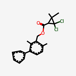 Cc1ccc(-c2ccccc2)c(C)c1COC(=O)C1C(C)(C)C1(Cl)Cl